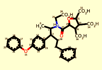 CC(C(CCc1ccccc1)c1ccc(Oc2ccccc2)cc1)N(CC(=O)O)C(=O)C1OC(C(=O)O)C(C(=O)O)C1C(=O)O